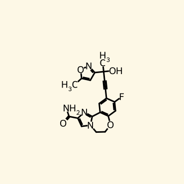 Cc1cc(C(C)(O)C#Cc2cc3c(cc2F)OCCn2cc(C(N)=O)nc2-3)no1